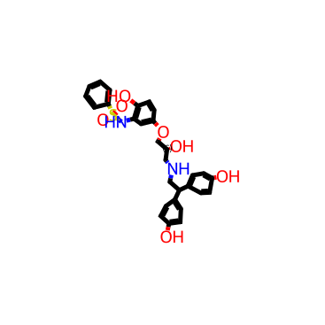 O=S(=O)(Nc1cc(OC[C@@H](O)CNCC(c2ccc(O)cc2)c2ccc(O)cc2)ccc1O)c1ccccc1